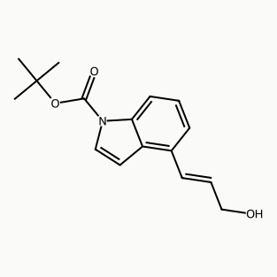 CC(C)(C)OC(=O)n1ccc2c(C=CCO)cccc21